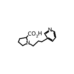 O=C(O)C1CCCN1CCCc1cccnc1